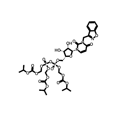 CC(C)OC(=O)OCOP(=O)(OCOC(=O)OC(C)C)OP(=O)(OCOC(=O)OC(C)C)OC[C@H]1O[C@@H](n2ccc(=O)n(Cc3noc4ccccc34)c2=O)[C@@H](O)[C@H]1O